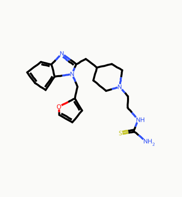 NC(=S)NCCN1CCC(Cc2nc3ccccc3n2Cc2ccco2)CC1